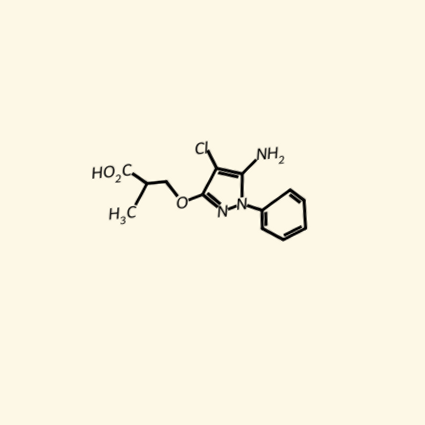 CC(COc1nn(-c2ccccc2)c(N)c1Cl)C(=O)O